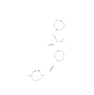 CN1C(=O)/C(=C\c2ccc(Cl)c(Cl)c2)C(=O)c2cc(C#CCc3ccc(F)cc3)ccc21